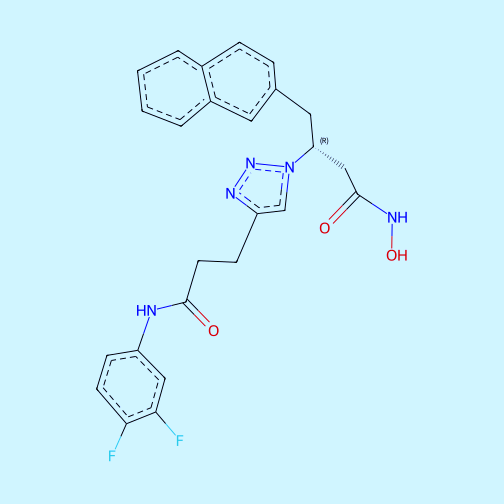 O=C(C[C@@H](Cc1ccc2ccccc2c1)n1cc(CCC(=O)Nc2ccc(F)c(F)c2)nn1)NO